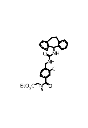 CCOC(=O)CN(C)C(=O)c1ccc(CNC(=O)NC2c3ccccc3CCc3ccccc32)c(Cl)c1